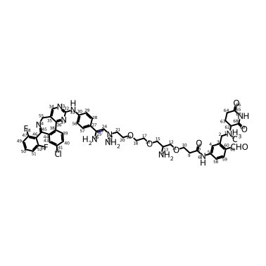 CN(Cc1cc(NC(=O)CCOCC(N)COCCOCCN(N)/C=C(\N)c2ccc(Nc3ncc4c(n3)-c3ccc(Cl)cc3C(c3c(F)cccc3F)=NC4)cc2)ccc1C=O)C1CCC(=O)NC1=O